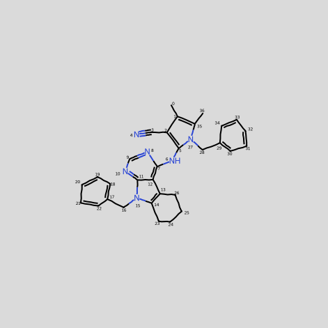 Cc1c(C#N)c(Nc2ncnc3c2c2c(n3Cc3ccccc3)CCCC2)n(Cc2ccccc2)c1C